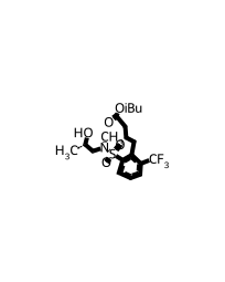 CC(C)COC(=O)CCCc1c(C(F)(F)F)cccc1S(=O)(=O)N(C)C[C@H](C)O